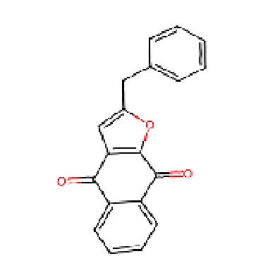 O=C1c2ccccc2C(=O)c2oc(Cc3ccccc3)cc21